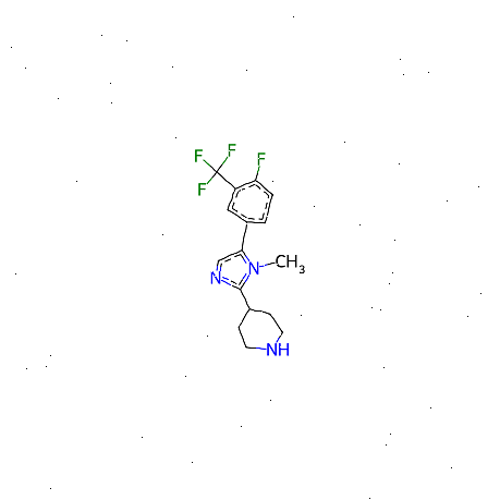 Cn1c(-c2ccc(F)c(C(F)(F)F)c2)cnc1C1CCNCC1